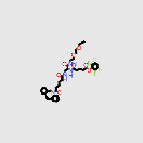 C#CCOCCOCCNC(=O)C(CNC(=O)CCCCC(=O)N1Cc2ccccc2C#Cc2ccccc21)NC(=O)CCCC(=O)Oc1c(F)c(F)cc(F)c1F